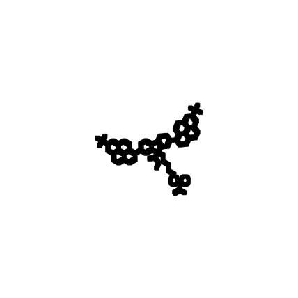 C=C(C)C(=O)OCCCCCC1(C(=C)CC)c2cc(-c3ccc4ccc5cc(C(C)(C)C)cc6ccc3c4c56)ccc2-c2ccc(-c3ccc4ccc5cc(C(C)(C)C)cc6ccc3c4c56)cc21